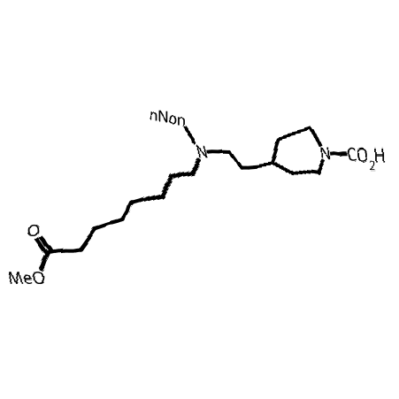 CCCCCCCCCN(CCCCCCCC(=O)OC)CCC1CCN(C(=O)O)CC1